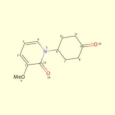 COc1cccn(C2CCC(=O)CC2)c1=O